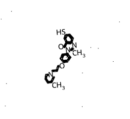 Cc1nc2ccc(S)cc2c(=O)n1-c1ccc(OCCCN2CCC[C@H](C)C2)cc1